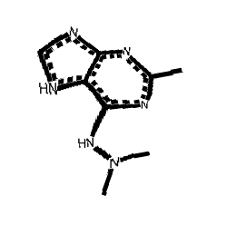 Cc1nc(NN(C)C)c2[nH]cnc2n1